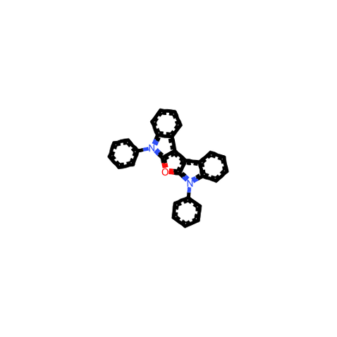 c1ccc(-n2c3ccccc3c3c4c5ccccc5n(-c5ccccc5)c4oc32)cc1